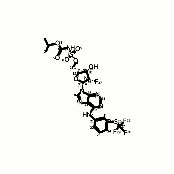 CC(C)OC(=O)NS(=O)(=O)OC[C@H]1O[C@@H](n2cnc3c(Nc4cccc(SC(F)(F)F)c4)ncnc32)[C@@H](F)[C@@H]1O